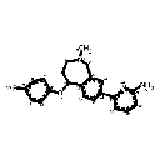 CN1CCC(Oc2ccc(F)cc2)c2ccc(-c3cccc(N)n3)cc2C1